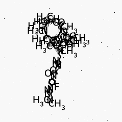 CC[C@H]1OC(=O)[C@H](C)[C@@H](O[C@H]2C[C@@](C)(OC)[C@@H](O)[C@H](C)O2)C[C@@H](O[C@@H]2O[C@H](C)C[C@H](N(C)CCc3cn(C[C@H]4CN(c5ccc(-n6cc(CN(C)C)nn6)c(F)c5)C(=O)O4)nn3)[C@H]2O)[C@](C)(O)C[C@@H](C)CN(C)[C@H](C)[C@@H](O)[C@]1(C)O